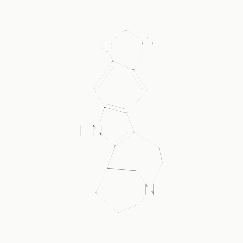 c1c2c(cc3c4c([nH]c13)C1CCCN(CC4)C1)OCO2